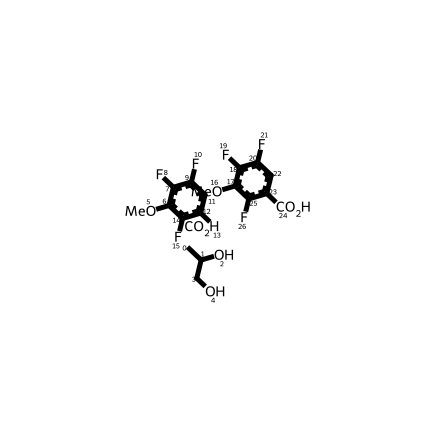 CC(O)CO.COc1c(F)c(F)cc(C(=O)O)c1F.COc1c(F)c(F)cc(C(=O)O)c1F